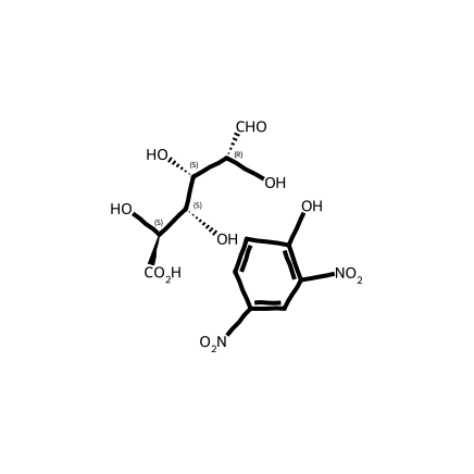 O=C[C@H](O)[C@@H](O)[C@H](O)[C@H](O)C(=O)O.O=[N+]([O-])c1ccc(O)c([N+](=O)[O-])c1